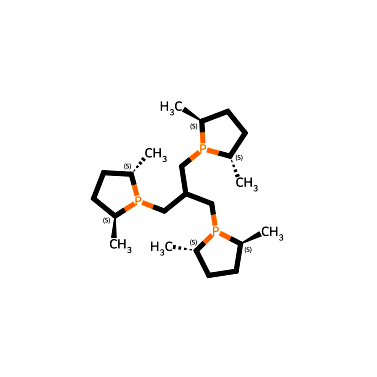 C[C@H]1CC[C@H](C)P1CC(CP1[C@@H](C)CC[C@@H]1C)CP1[C@@H](C)CC[C@@H]1C